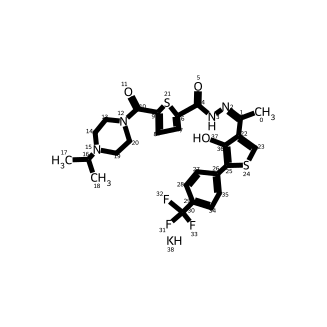 CC(=NNC(=O)c1ccc(C(=O)N2CCN(C(C)C)CC2)s1)c1csc(-c2ccc(C(F)(F)F)cc2)c1O.[KH]